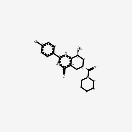 CCCC[C@H]1C[C@H](C(=O)N2CCCCC2)Cc2c1nc(-c1ccc(Cl)cc1)[nH]c2=O